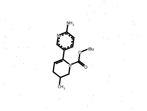 CC1CC=C(c2ccc(N)nc2)N(C(=O)OC(C)(C)C)C1